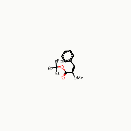 CCCCCC(CC)(CC)OC(=O)C(=Cc1ccccc1)OC